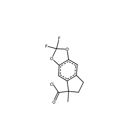 CC1(C(=O)Cl)CCc2cc3c(cc21)OC(F)(F)O3